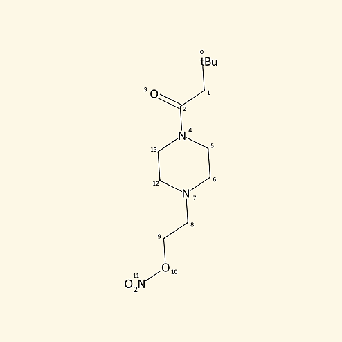 CC(C)(C)CC(=O)N1CCN(CCO[N+](=O)[O-])CC1